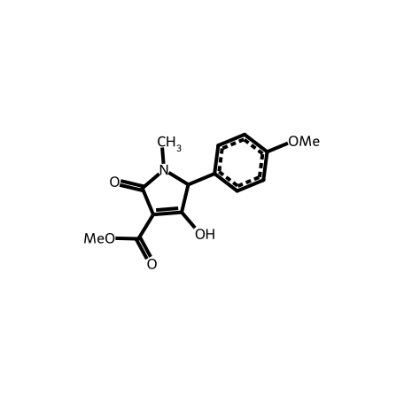 COC(=O)C1=C(O)C(c2ccc(OC)cc2)N(C)C1=O